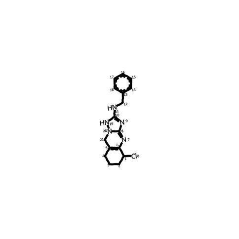 ClC1CCCC2=C1N=C1N=C(NCc3ccccc3)NN1C2